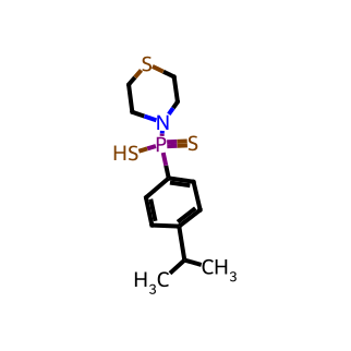 CC(C)c1ccc(P(=S)(S)N2CCSCC2)cc1